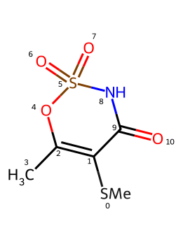 CSC1=C(C)OS(=O)(=O)NC1=O